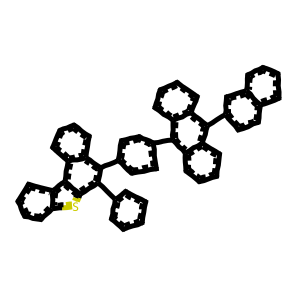 c1ccc(-c2c(-c3ccc(-c4c5ccccc5c(-c5ccc6ccccc6c5)c5ccccc45)cc3)c3ccccc3c3c2sc2ccccc23)cc1